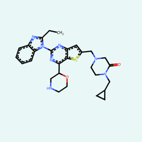 CCc1nc2ccccc2n1-c1nc(C2CNCCO2)c2sc(CN3CCN(CC4CC4)C(=O)C3)cc2n1